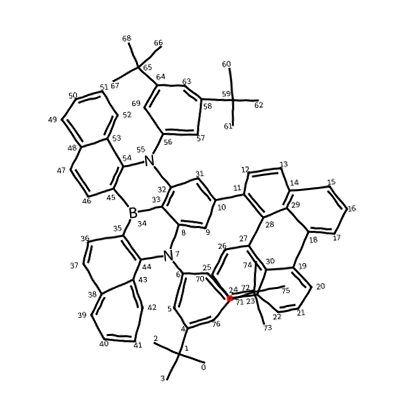 CC(C)(C)c1cc(N2c3cc(-c4ccc5cccc6c7cccc8cccc(c4c56)c87)cc4c3B(c3ccc5ccccc5c32)c2ccc3ccccc3c2N4c2cc(C(C)(C)C)cc(C(C)(C)C)c2)cc(C(C)(C)C)c1